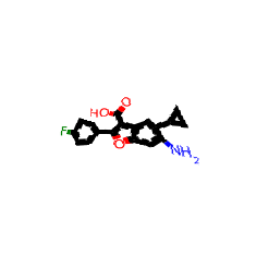 Nc1cc2oc(-c3ccc(F)cc3)c(C(=O)O)c2cc1C1CC1